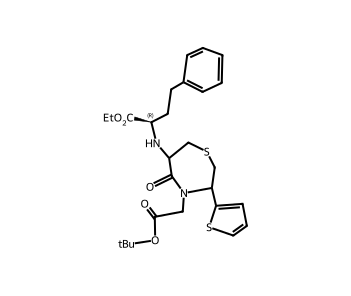 CCOC(=O)[C@@H](CCc1ccccc1)NC1CSCC(c2cccs2)N(CC(=O)OC(C)(C)C)C1=O